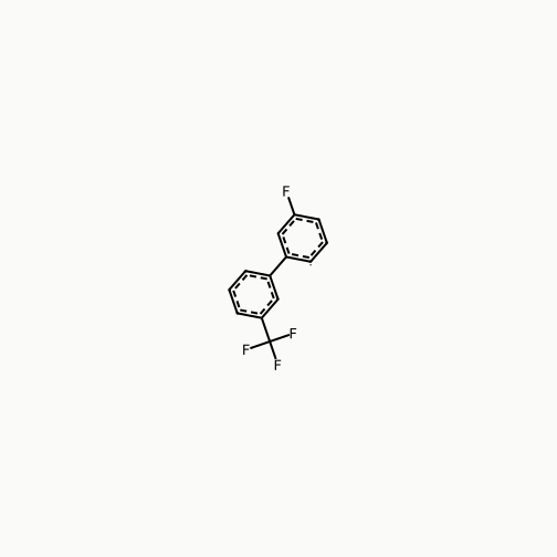 Fc1cc[c]c(-c2cccc(C(F)(F)F)c2)c1